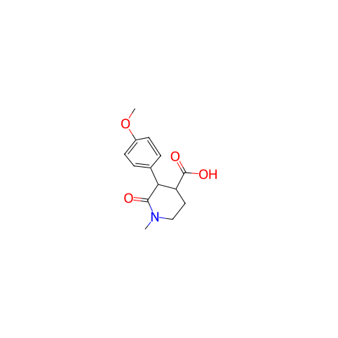 COc1ccc(C2C(=O)N(C)CCC2C(=O)O)cc1